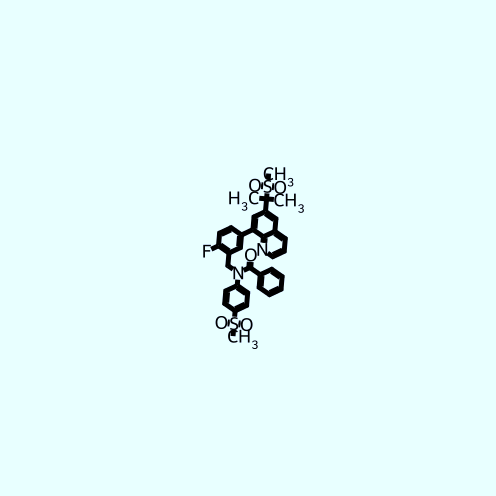 CC(C)(c1cc(-c2ccc(F)c(CN(C(=O)c3ccccc3)c3ccc(S(C)(=O)=O)cc3)c2)c2ncccc2c1)S(C)(=O)=O